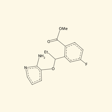 CCC(Oc1cccnc1N)c1cc(F)ccc1C(=O)OC